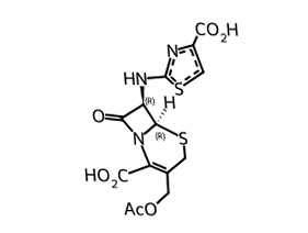 CC(=O)OCC1=C(C(=O)O)N2C(=O)[C@@H](Nc3nc(C(=O)O)cs3)[C@H]2SC1